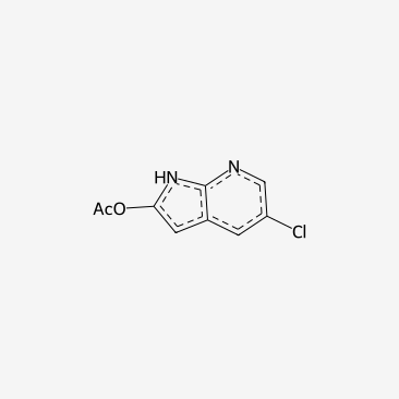 CC(=O)Oc1cc2cc(Cl)cnc2[nH]1